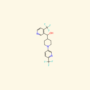 OC(c1cnccc1C(F)(F)F)C1CCN(c2ccc(C(F)(F)F)nc2)CC1